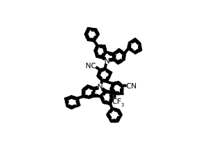 N#Cc1cc(-c2cc(-n3c4ccc(-c5ccccc5)cc4c4cc(-c5ccccc5)ccc43)c(C#N)cc2-n2c3ccc(-c4ccccc4)cc3c3cc(-c4ccccc4)ccc32)cc(C(F)(F)F)c1